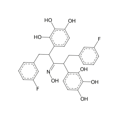 ON=C(C(Cc1cccc(F)c1)c1ccc(O)c(O)c1O)C(Cc1cccc(F)c1)c1ccc(O)c(O)c1O